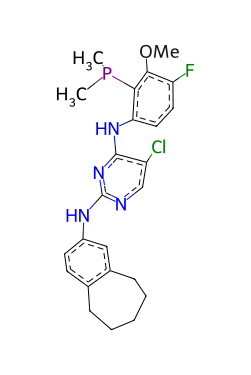 COc1c(F)ccc(Nc2nc(Nc3ccc4c(c3)CCCCC4)ncc2Cl)c1P(C)C